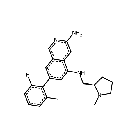 Cc1cccc(F)c1-c1cc(NC[C@H]2CCCN2C)c2cc(N)ncc2c1